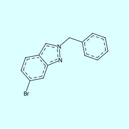 Brc1ccc2cn(Cc3ccccc3)nc2c1